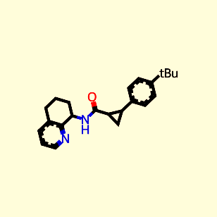 CC(C)(C)c1ccc(C2CC2C(=O)NC2CCCc3cccnc32)cc1